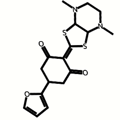 CN1CCN(C)C2SC(=C3C(=O)CC(c4ccco4)CC3=O)SC21